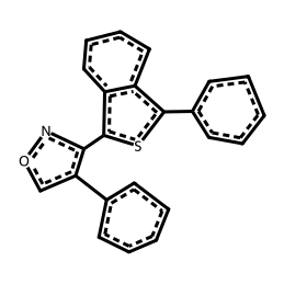 c1ccc(-c2conc2-c2sc(-c3ccccc3)c3ccccc23)cc1